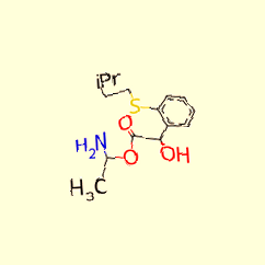 CC(C)CCSc1ccccc1[C@@H](O)C(=O)OC(C)N